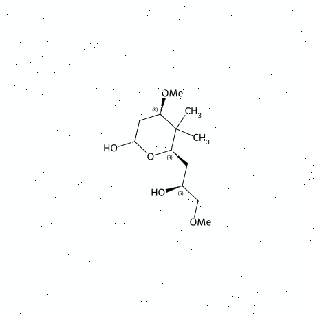 COC[C@@H](O)C[C@H]1OC(O)C[C@@H](OC)C1(C)C